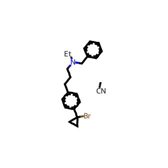 CC#N.CCN(CCCc1ccc(C2(Br)CC2)cc1)Cc1ccccc1